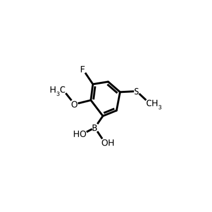 COc1c(F)cc(SC)cc1B(O)O